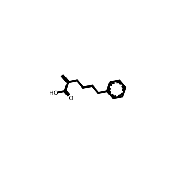 C=C(CCCCc1ccccc1)C(=O)O